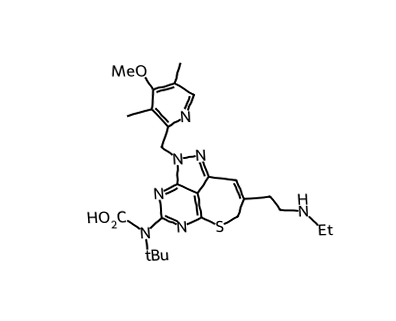 CCNCCC1=Cc2nn(Cc3ncc(C)c(OC)c3C)c3nc(N(C(=O)O)C(C)(C)C)nc(c23)SC1